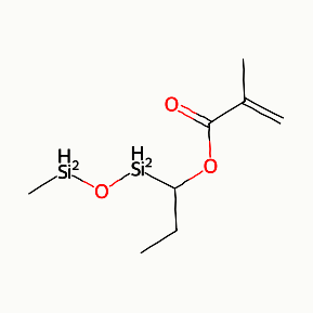 C=C(C)C(=O)OC(CC)[SiH2]O[SiH2]C